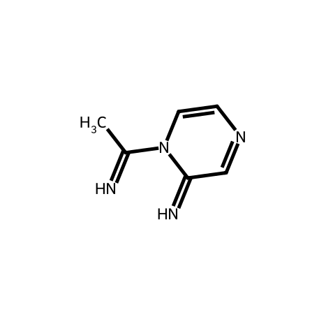 CC(=N)n1ccncc1=N